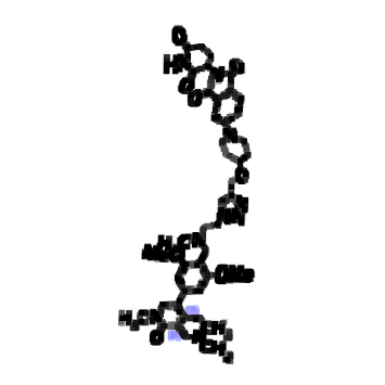 C=N/C=c1/c(=O)n(C)cc(-c2cc(OC)c(CN(C)CCn3cc(COC4CCN(c5ccc6c(c5)C(=O)N(C5CCC(=O)NC5=O)C6=O)CC4)nn3)c(OC)c2)/c1=C/C